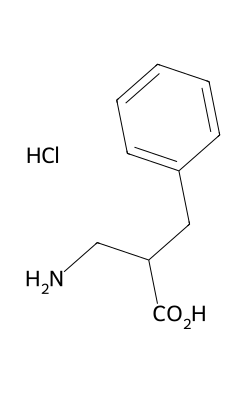 Cl.NCC(Cc1ccccc1)C(=O)O